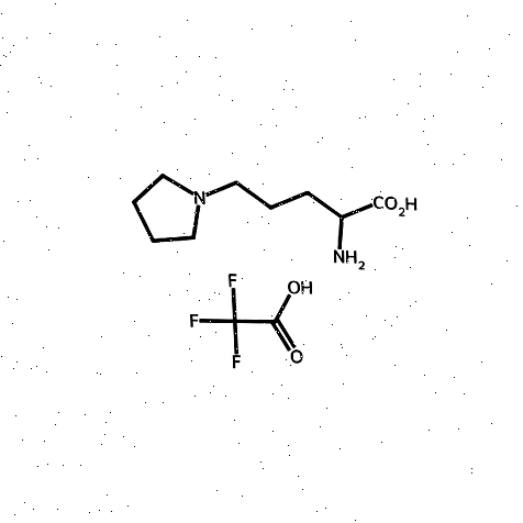 NC(CCCN1CCCC1)C(=O)O.O=C(O)C(F)(F)F